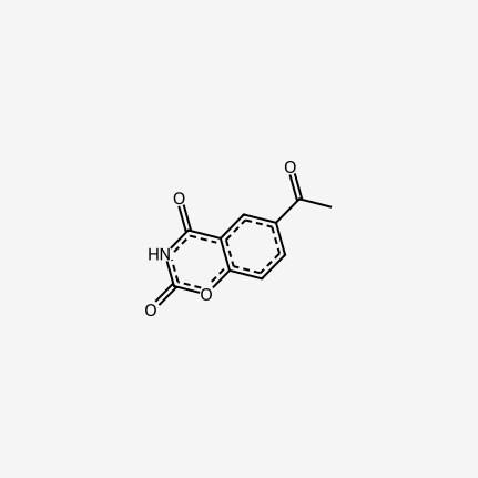 CC(=O)c1ccc2oc(=O)[nH]c(=O)c2c1